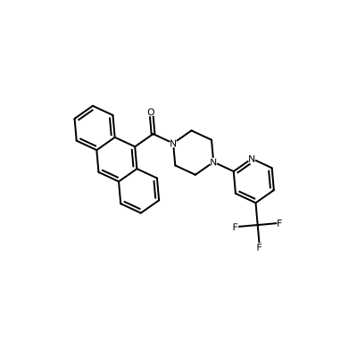 O=C(c1c2ccccc2cc2ccccc12)N1CCN(c2cc(C(F)(F)F)ccn2)CC1